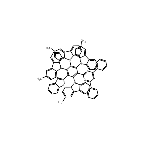 Cc1ccc2c(c1)c1ccccc1n2-c1c(-c2nc(-c3ccccc3)nc(-c3ccccc3)n2)c(-n2c3ccccc3c3cc(C)ccc32)c(-n2c3ccccc3c3cc(C)ccc32)c(-n2c3ccccc3c3cc(C)ccc32)c1-c1nc2ccccc2o1